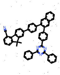 CC1(C)c2cc(-c3ccc(-c4cc5ccccc5cc4-c4ccc(-c5nc(-c6ccccc6)nc(-c6ccccc6)n5)cc4)cc3)ccc2-c2c(C#N)cccc21